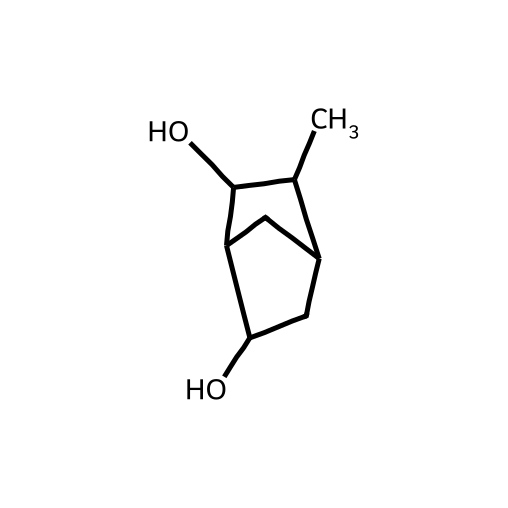 CC1C2CC(O)C(C2)C1O